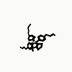 CCCCc1ccc([Si](C2=C(C(C)(C)C)C=CC2)(c2ccc(CCCC)cc2)c2ccc(CCCC)cc2)cc1